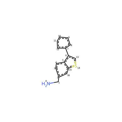 NCc1ccc2c(-c3ccccc3)csc2c1